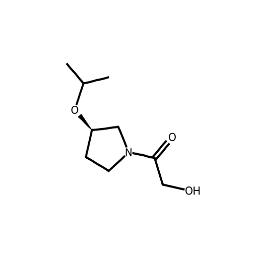 CC(C)O[C@@H]1CCN(C(=O)CO)C1